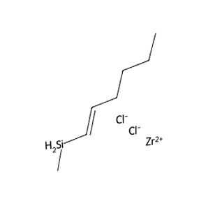 CCCCC=C[SiH2]C.[Cl-].[Cl-].[Zr+2]